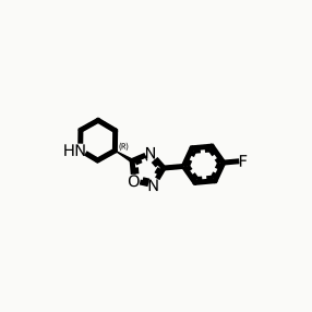 Fc1ccc(-c2noc([C@@H]3CCCNC3)n2)cc1